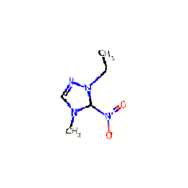 CCN1N=CN(C)C1[N+](=O)[O-]